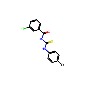 CCc1ccc(NC(=S)NC(=O)c2cccc(Cl)c2)cc1